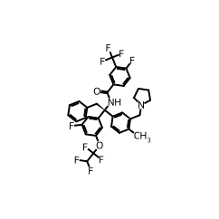 Cc1ccc([C@@](Cc2ccccc2)(NC(=O)c2ccc(F)c(C(F)(F)F)c2)c2cc(F)cc(OC(F)(F)C(F)F)c2)cc1CN1CCCC1